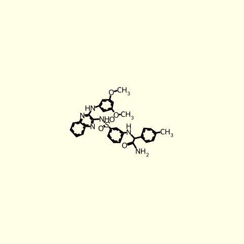 COc1cc(Nc2nc3ccccc3nc2NS(=O)(=O)c2cccc(NC(C(N)=O)c3ccc(C)cc3)c2)cc(OC)c1